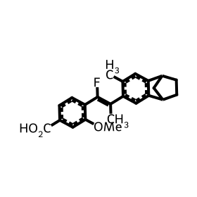 COc1cc(C(=O)O)ccc1/C(F)=C(\C)c1cc2c(cc1C)C1CCC2C1